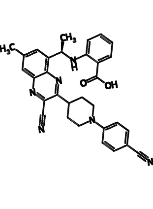 Cc1cc([C@@H](C)Nc2ccccc2C(=O)O)c2nc(C3CCN(c4ccc(C#N)cc4)CC3)c(C#N)nc2c1